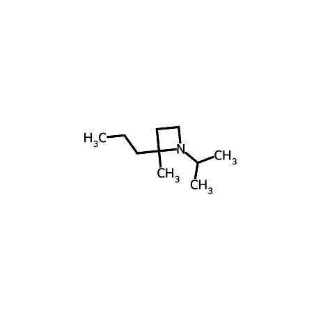 CCCC1(C)CCN1C(C)C